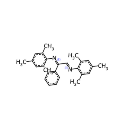 Cc1cc(C)c(/N=C/C(=N/c2c(C)cc(C)cc2C)c2ccccc2)c(C)c1